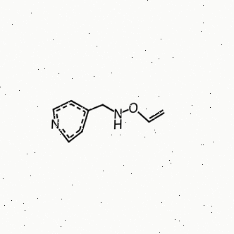 C=CONCc1ccncc1